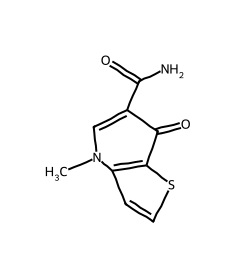 Cn1cc(C(N)=O)c(=O)c2sccc21